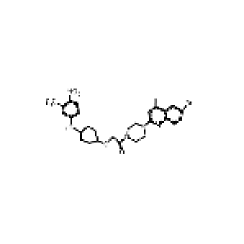 Cc1cc(N2CCN(C(=O)COC3CCC(Nc4ccc([N+](=O)[O-])c(C(F)(F)F)c4)CC3)CC2)nc2ccc(Br)cc12